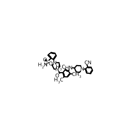 Cc1cc(C)c(C(=O)N2CCN(c3ccccc3S(N)(=O)=O)CC2)c(C)c1NC1CCN(c2ccccc2C#N)CC1